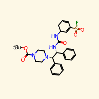 CC(C)(C)OC(=O)N1CCN([C@@H](c2ccccc2)[C@H](NC(=O)NC2C=C(S(=O)(=O)F)C=CC2)c2ccccc2)CC1